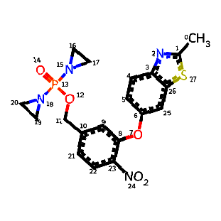 Cc1nc2ccc(Oc3cc(COP(=O)(N4CC4)N4CC4)ccc3[N+](=O)[O-])cc2s1